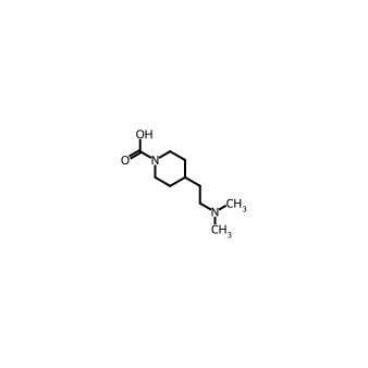 CN(C)CCC1CCN(C(=O)O)CC1